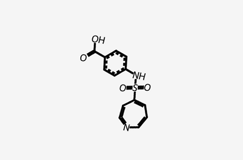 O=C(O)c1ccc(NS(=O)(=O)C2=CC=CN=C=C2)cc1